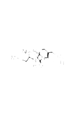 CO[C@@]1(NC(=O)CSC)C(=O)N2C(C(=O)O)=C(COC(C)=O)CS[C@H]21